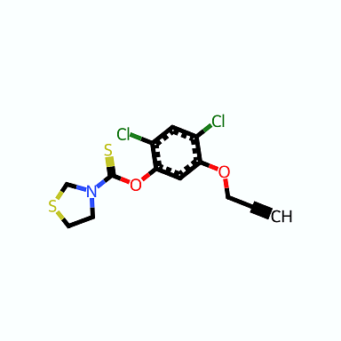 C#CCOc1cc(OC(=S)N2CCSC2)c(Cl)cc1Cl